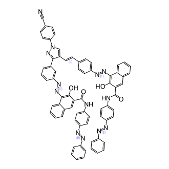 N#Cc1ccc(-n2cc(/C=C/c3ccc(/N=N/c4c(O)c(C(=O)Nc5ccc(/N=N/c6ccccc6)cc5)cc5ccccc45)cc3)c(-c3cccc(/N=N/c4c(O)c(C(=O)Nc5ccc(/N=N/c6ccccc6)cc5)cc5ccccc45)c3)n2)cc1